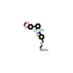 CC(=O)NCCN=Cc1ccc2c(Nc3cccc(-c4ccc5c(c4)OCCO5)c3Cl)nsc2c1